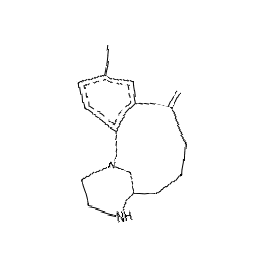 C=C1CCCC2CN(CCN2)c2ccc(C)cc21